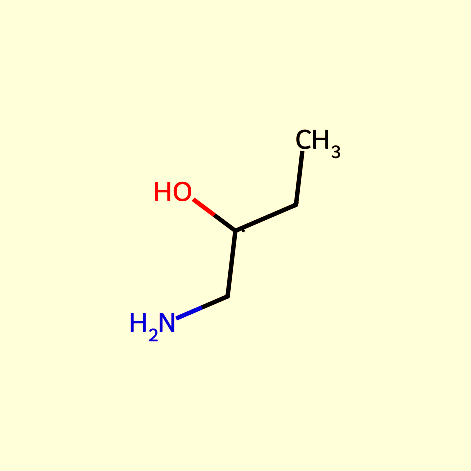 CC[C](O)CN